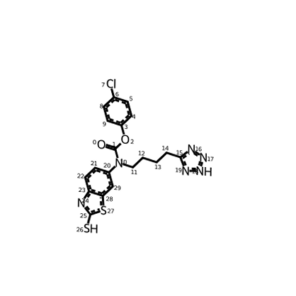 O=C(Oc1ccc(Cl)cc1)N(CCCCc1nn[nH]n1)c1ccc2nc(S)sc2c1